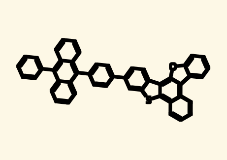 c1ccc(-c2c3ccccc3c(-c3ccc(-c4ccc5c(c4)sc4c6ccccc6c6c7ccccc7oc6c54)cc3)c3ccccc23)cc1